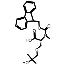 CN(C(=O)OCC1c2ccccc2-c2ccccc21)[C@@H](COCC(C)(C)O)C(=O)O